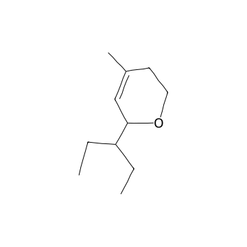 CCC(CC)C1C=C(C)CCO1